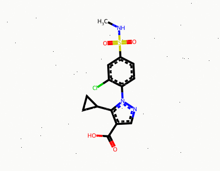 CNS(=O)(=O)c1ccc(-n2ncc(C(=O)O)c2C2CC2)c(Cl)c1